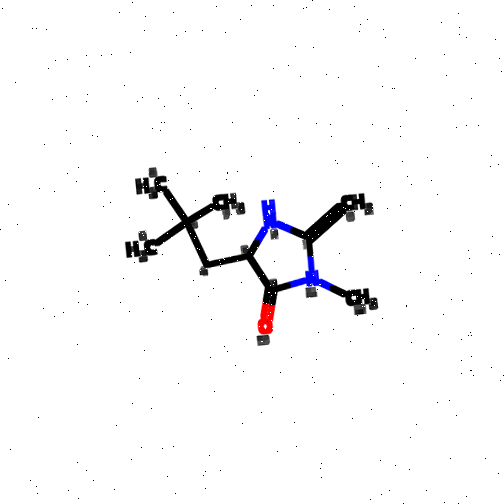 C=C1NC(CC(C)(C)C)C(=O)N1C